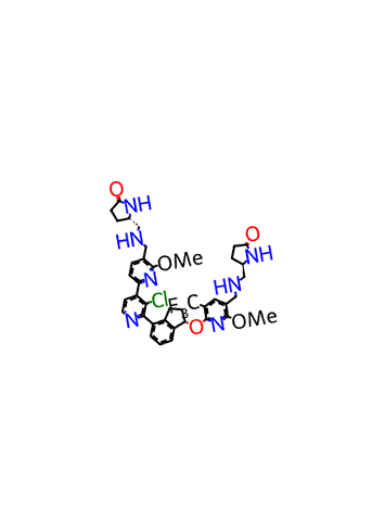 COc1nc(-c2ccnc(-c3cccc4c3CC[C@H]4Oc3nc(OC)c(CNC[C@H]4CCC(=O)N4)cc3C(F)(F)F)c2Cl)ccc1CNC[C@@H]1CCC(=O)N1